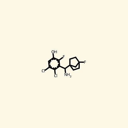 NC(c1c(F)c(O)cc(Cl)c1Cl)C12CCC(F)(CC1)C2